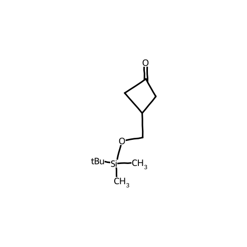 CC(C)(C)[Si](C)(C)OCC1CC(=O)C1